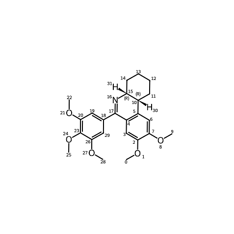 COc1cc2c(cc1OC)[C@H]1CCCC[C@H]1N=C2c1cc(OC)c(OC)c(OC)c1